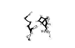 COC(=O)CCCF.NC1CC2(F)CCC12